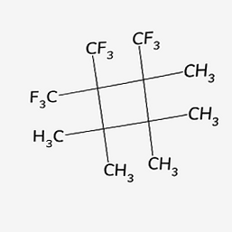 CC1(C)C(C)(C)C(C(F)(F)F)(C(F)(F)F)C1(C)C(F)(F)F